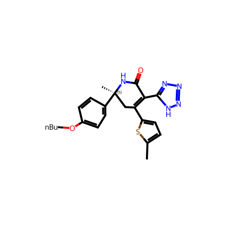 CCCCOc1ccc([C@]2(C)CC(c3ccc(C)s3)=C(c3nnn[nH]3)C(=O)N2)cc1